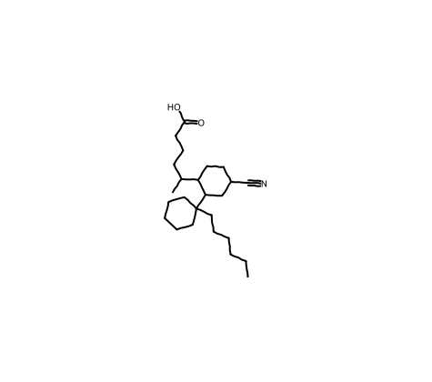 CCCCCCC1(C2CC(C#N)CCC2C(C)CCCC(=O)O)CCCCC1